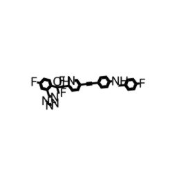 OC1(C(F)(F)c2ccc(C#Cc3ccc(NCc4ccc(F)cc4)cc3)cn2)Cn2nnnc2-c2cc(F)ccc21